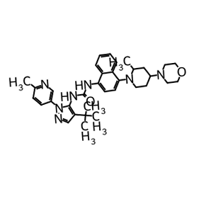 Cc1ccc(-n2ncc(C(C)(C)C)c2NC(=O)Nc2ccc(N3CCC(N4CCOCC4)CC3C)c3ccccc23)cn1